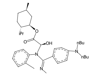 CCCCN(CCCC)c1ccc(/C(=N\C)N(c2ccccc2C)[C@H](O)C(=O)O[C@@H]2C[C@H](C)CC[C@H]2C(C)C)cc1